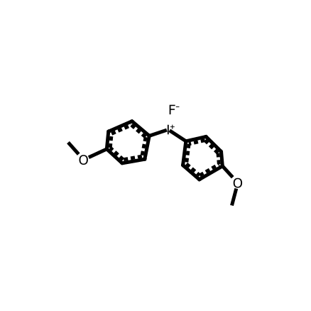 COc1ccc([I+]c2ccc(OC)cc2)cc1.[F-]